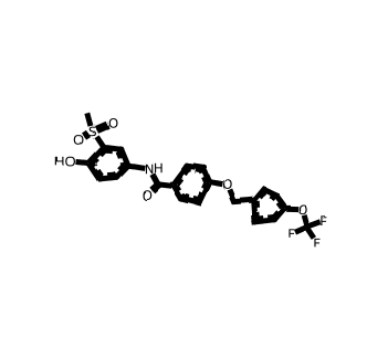 CS(=O)(=O)c1cc(NC(=O)c2ccc(OCc3ccc(OC(F)(F)F)cc3)cc2)ccc1O